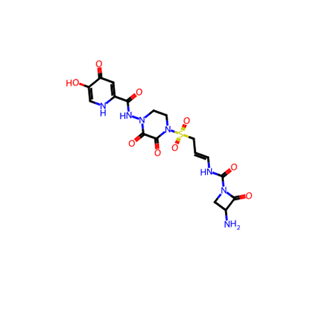 NC1CN(C(=O)NC=CCS(=O)(=O)N2CCN(NC(=O)c3cc(=O)c(O)c[nH]3)C(=O)C2=O)C1=O